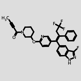 CC#CC(=O)N1CCCC(Oc2ccc(C(=C(CC(F)(F)F)c3ccccc3)c3ccc4[nH]nc(F)c4c3)cn2)C1